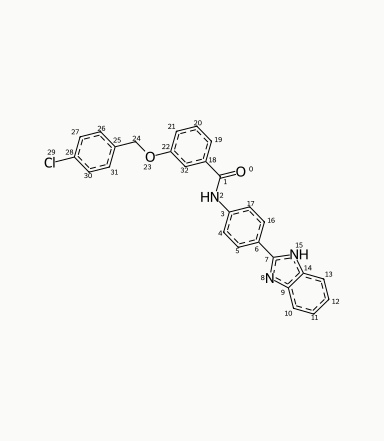 O=C(Nc1ccc(-c2nc3ccccc3[nH]2)cc1)c1cccc(OCc2ccc(Cl)cc2)c1